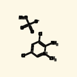 COS(=O)(=O)[O-].C[n+]1cc(Cl)cc(Cl)c1N